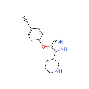 C#Cc1ccc(Oc2cn[nH]c2C2CCCNC2)cc1